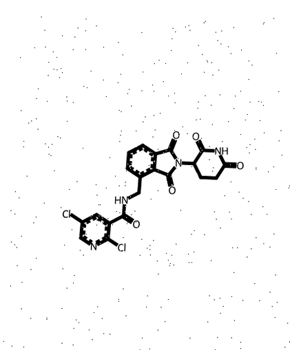 O=C1CCC(N2C(=O)c3cccc(CNC(=O)c4cc(Cl)cnc4Cl)c3C2=O)C(=O)N1